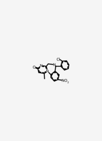 Cc1cc(=O)nc2n1-c1ccc([N+](=O)[O-])cc1C(c1ccccc1Cl)=NC2